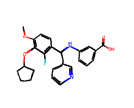 COc1ccc(C(Nc2cccc(C(=O)O)c2)c2cccnc2)c(F)c1OC1CCCC1